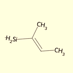 C/C=C(\C)[SiH2]